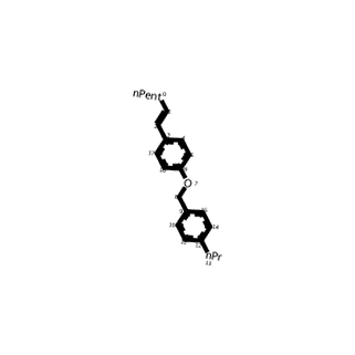 CCCCC/C=C/c1ccc(OCc2ccc(CCC)cc2)cc1